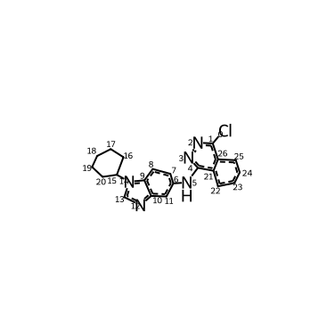 Clc1nnc(Nc2ccc3c(c2)ncn3C2CCCCC2)c2ccccc12